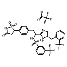 O=C(O)C(F)(F)F.O=C1CC(c2ccc(CC(NS(=O)(=O)c3cccc(C(F)(F)F)c3)C3=NC[C@@H](Cc4ccccc4C(F)(F)F)N3)cc2)S(=O)(=O)N1